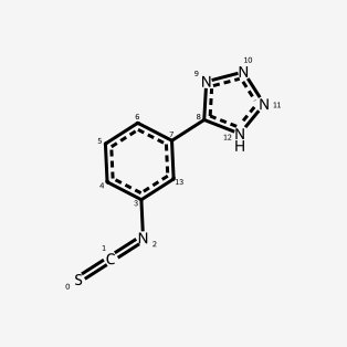 S=C=Nc1cccc(-c2nnn[nH]2)c1